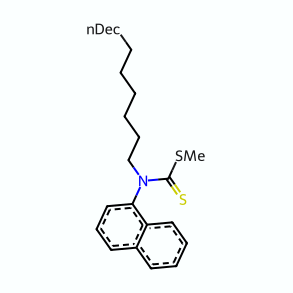 CCCCCCCCCCCCCCCCN(C(=S)SC)c1cccc2ccccc12